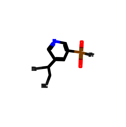 CCC(CC#N)c1cncc(S(=O)(=O)C(C)C)c1